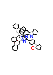 CC(c1ccccc1)C1Cc2ccccc2-c2cccc(-c3nc(-c4ccc5ccccc5c4)nc(-c4cc5oc6ccccc6c5cc4-n4c5ccccc5c5cc6ccccc6cc54)n3)c21